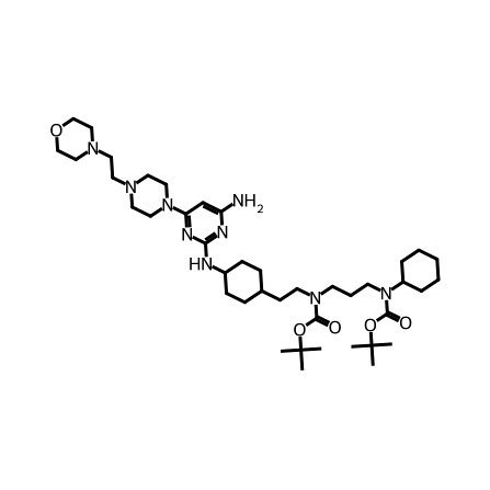 CC(C)(C)OC(=O)N(CCCN(C(=O)OC(C)(C)C)C1CCCCC1)CCC1CCC(Nc2nc(N)cc(N3CCN(CCN4CCOCC4)CC3)n2)CC1